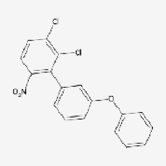 O=[N+]([O-])c1ccc(Cl)c(Cl)c1-c1cccc(Oc2ccccc2)c1